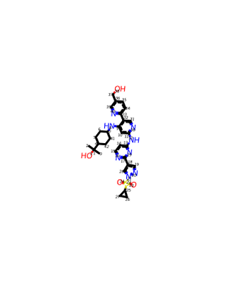 CC(C)(O)C1CCC(Nc2cc(Nc3ccnc(-c4cnn(S(=O)(=O)C5CC5)c4)n3)ncc2-c2ccc(CO)cn2)CC1